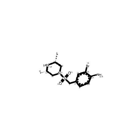 C[C@@H]1CN(S(=O)(=O)Cc2ccc(N)c(Br)c2)C[C@H](C)N1